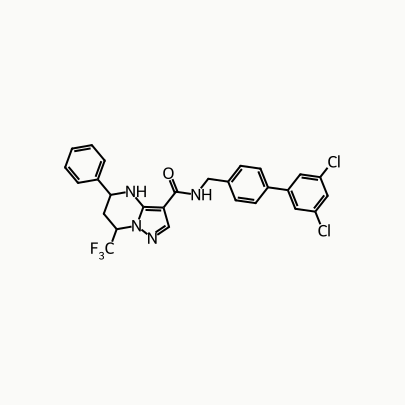 O=C(NCc1ccc(-c2cc(Cl)cc(Cl)c2)cc1)c1cnn2c1NC(c1ccccc1)CC2C(F)(F)F